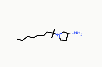 CCCCCCCC(C)(C)N1CC[C@@H](N)C1